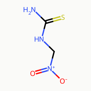 NC(=S)NC[N+](=O)[O-]